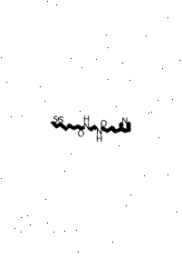 O=C(C/C=C/c1cccnc1)NCCNC(=O)CCCCC1CCSS1